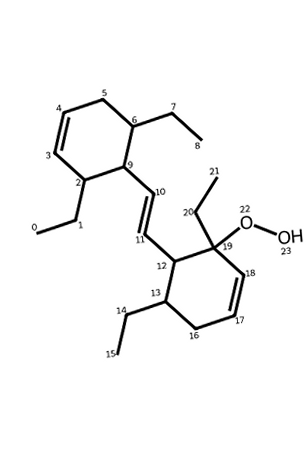 CCC1C=CCC(CC)C1C=CC1C(CC)CC=CC1(CC)OO